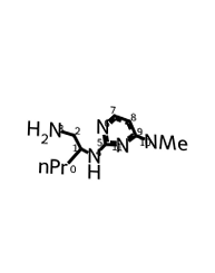 CCCC(CN)Nc1nccc(NC)n1